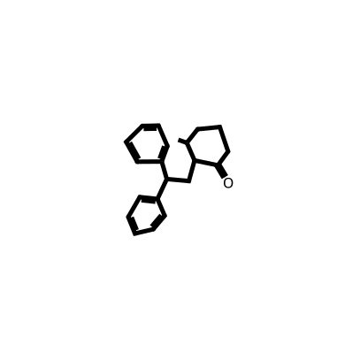 CC1CCCC(=O)C1CC(c1ccccc1)c1ccccc1